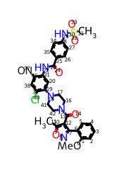 COc1ccccc1-c1noc(C)c1C(=O)N1CCN(c2cc(NC(=O)c3ccc(NS(C)(=O)=O)cc3)c(N=O)cc2Cl)CC1